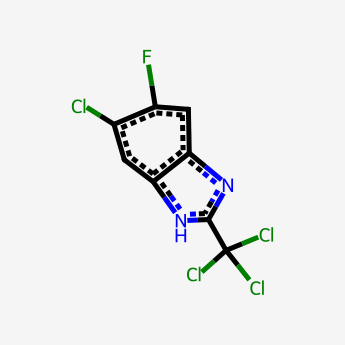 Fc1cc2nc(C(Cl)(Cl)Cl)[nH]c2cc1Cl